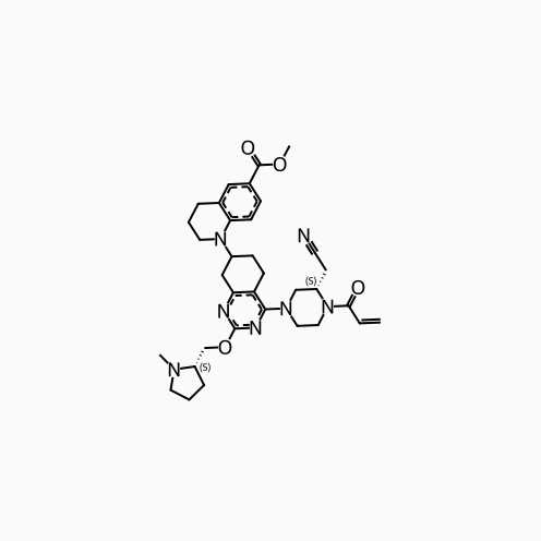 C=CC(=O)N1CCN(c2nc(OC[C@@H]3CCCN3C)nc3c2CCC(N2CCCc4cc(C(=O)OC)ccc42)C3)C[C@@H]1CC#N